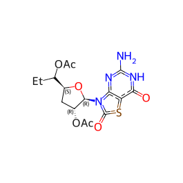 CCC(OC(C)=O)[C@@H]1C[C@@H](OC(C)=O)[C@H](n2c(=O)sc3c(=O)[nH]c(N)nc32)O1